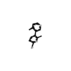 Cc1ccncc1-c1ccc(Br)nc1C